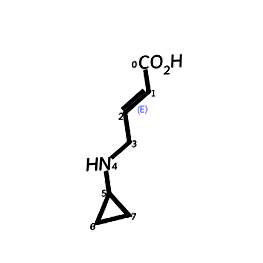 O=C(O)/C=C/CNC1CC1